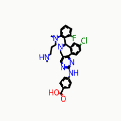 CNCCCN(C)c1cccc(F)c1C1=NCc2cnc(Nc3ccc(C(=O)O)cc3)nc2-c2ccc(Cl)cc21